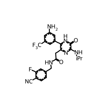 CC(C)Nc1nc(CC(=O)NCc2ccc(C#N)c(F)c2)c(-c2cc(N)cc(C(F)(F)F)c2)[nH]c1=O